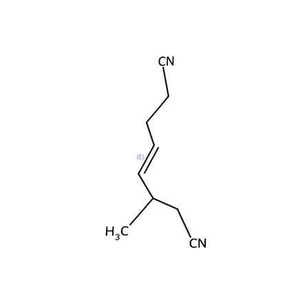 CC(/C=C/CCC#N)CC#N